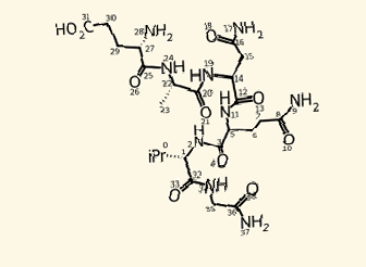 CC(C)[C@H](NC(=O)[C@H](CCC(N)=O)NC(=O)[C@H](CC(N)=O)NC(=O)[C@H](C)NC(=O)[C@@H](N)CCC(=O)O)C(=O)NCC(N)=O